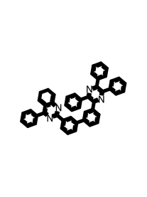 C1=c2nc(-c3cccc(-c4cccc(-c5nc(-c6ccccc6)c(-c6ccccc6)nc5-c5ccccc5)c4)c3)nc(-c3ccccc3)c2=CCC1